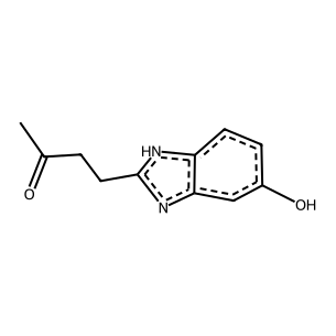 CC(=O)CCc1nc2cc(O)ccc2[nH]1